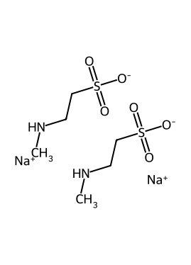 CNCCS(=O)(=O)[O-].CNCCS(=O)(=O)[O-].[Na+].[Na+]